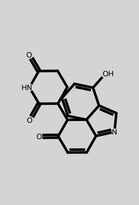 O=C1CCC(C2C(=O)C=CC3=NC=C4C(O)=CC=CC432)C(=O)N1